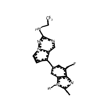 Cc1nc2c(F)cc(-c3ccn4nc(NCC(F)(F)F)ncc34)cc2n1C(C)C